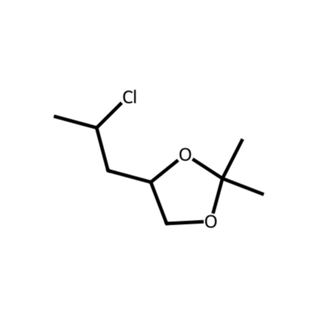 CC(Cl)CC1COC(C)(C)O1